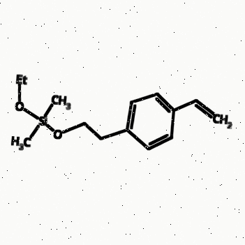 C=Cc1ccc(CCO[Si](C)(C)OCC)cc1